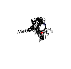 COc1ccc2c(O[C@@H]3C[C@H]4C(=O)N[C@]5(C(=O)NS(=O)(=O)C6CC6)C[C@H]5/C=C\CC[C@H](C)C[C@@H](C)[C@H](NC(=O)O[C@@H]5C[C@@H]6C[C@@H]6C5)C(=O)N4C3)nc(-c3ccc(OC)c(F)c3)cc2c1